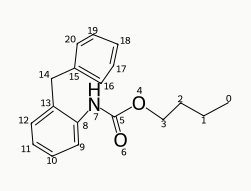 CCCCOC(=O)Nc1ccccc1Cc1ccccc1